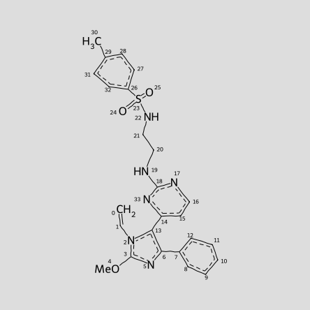 C=Cn1c(OC)nc(-c2ccccc2)c1-c1ccnc(NCCNS(=O)(=O)c2ccc(C)cc2)n1